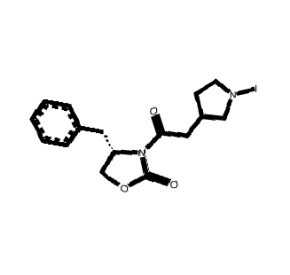 O=C(CC1CCN(I)C1)N1C(=O)OC[C@@H]1Cc1ccccc1